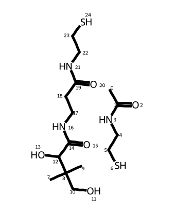 CC(=O)NCCS.CC(C)(CO)C(O)C(=O)NCCC(=O)NCCS